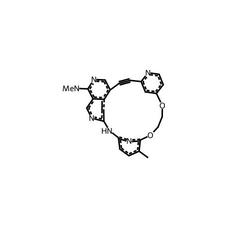 CNc1ncc2c3cc(ncc13)Nc1ccc(C)c(n1)OCCOc1ccnc(c1)C#C2